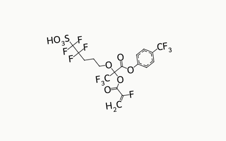 C=C(F)C(=O)OC(OCCCC(F)(F)C(F)(F)S(=O)(=O)O)(C(=O)Oc1ccc(C(F)(F)F)cc1)C(F)(F)F